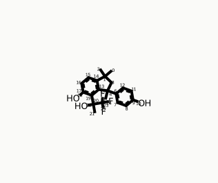 CC1(C)CC(C)(c2ccc(O)cc2)c2c1ccc(O)c2C(C)(O)C(F)(F)F